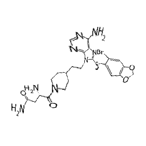 NC(=O)C[C@H](N)C(=O)N1CCC(CCn2c(Sc3cc4c(cc3Br)OCO4)nc3c(N)ncnc32)CC1